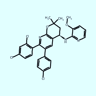 COc1cccnc1N[C@@H]1CC(C)(C)Oc2nc(-c3ccc(Cl)cc3Cl)c(-c3ccc(Cl)cc3)cc21